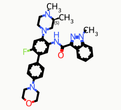 C[C@H]1CN(c2cc(F)c(-c3ccc(N4CCOCC4)cc3)cc2NC(=O)c2nn(C)c3ccccc23)CCN1C